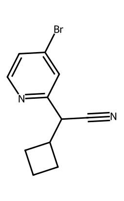 N#CC(c1cc(Br)ccn1)C1CCC1